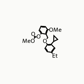 CCc1ccc(OCc2c(OC)cccc2OC(=O)OC)c(C2CC2)c1